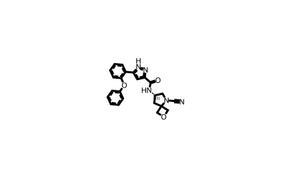 N#CN1C[C@@H](NC(=O)c2cc(-c3ccccc3Oc3ccccc3)[nH]n2)CC12COC2